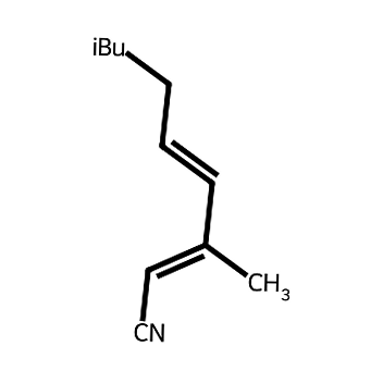 CCC(C)CC=CC(C)=CC#N